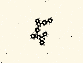 c1ccc(-c2ccc(-c3nc(-c4ccc(-n5c6ccccc6c6cc7c(cc65)c(-c5ccccc5)nc5ccccc57)cc4)nc4ccccc34)cc2)cc1